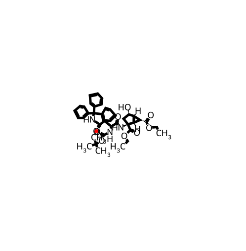 CCOC(=O)[C@H]1[C@H]2[C@@H]1[C@](NC(=O)C(CC(=O)NC(c1ccccc1)(c1ccccc1)c1ccccc1)NC(=O)OC(C)(C)C)(C(=O)OCC)C[C@@H]2O